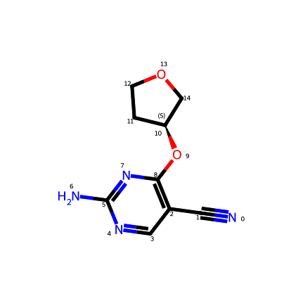 N#Cc1cnc(N)nc1O[C@H]1CCOC1